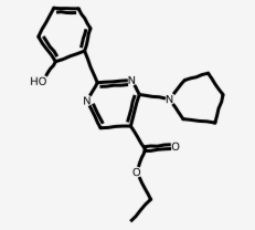 CCOC(=O)c1cnc(-c2ccccc2O)nc1N1CCCCC1